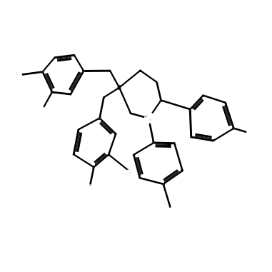 Fc1ccc(CC2(Cc3ccc(F)c(F)c3)CCC(c3ccc(Cl)cc3)N(c3ccc(Cl)cc3)C2)cc1F